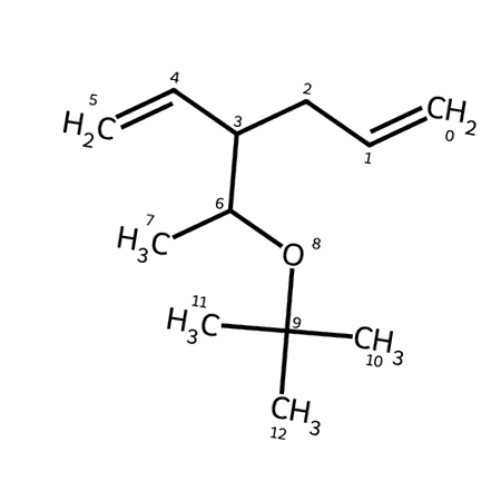 C=CCC(C=C)C(C)OC(C)(C)C